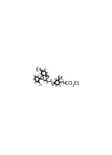 CCOC(=O)CCc1ccc(OCCC(C)Oc2ccc(CC)cc2Oc2ccccc2C)cc1CC